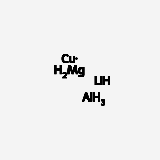 [AlH3].[Cu].[LiH].[MgH2]